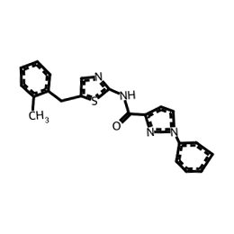 Cc1ccccc1Cc1cnc(NC(=O)c2ccn(-c3ccccc3)n2)s1